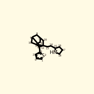 c1csc(C2C3CC4CC(C3)CC2(CCC2CCCN2)C4)c1